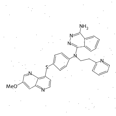 COc1cnc2c(Sc3ccc(N(CCc4ccccn4)c4nnc(N)c5ccccc45)cc3)ccnc2c1